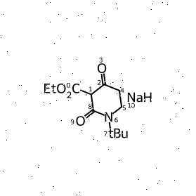 CCOC(=O)C1C(=O)CCN(C(C)(C)C)C1=O.[NaH]